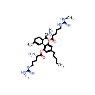 C=C(C)[C@@H]1CCC(C)=C[C@@H]1c1c(OC(=O)[C@@H](N)CCCNC(=N)NC)cc(CCCCC)cc1OC(=O)[C@@H](N)CCCNC(=N)NC